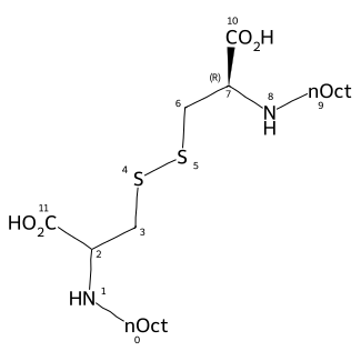 CCCCCCCCNC(CSSC[C@H](NCCCCCCCC)C(=O)O)C(=O)O